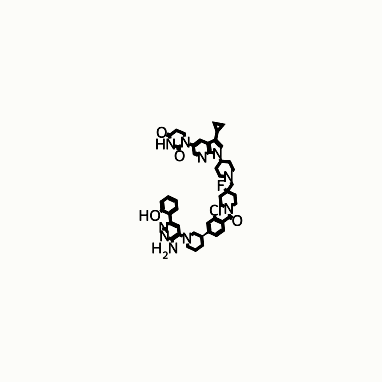 Nc1nnc(-c2ccccc2O)cc1N1CCC[C@H](c2ccc(C(=O)N3CCC(F)(CN4CCC(n5cc(C6CC6)c6cc(N7CCC(=O)NC7=O)cnc65)CC4)CC3)c(Cl)c2)C1